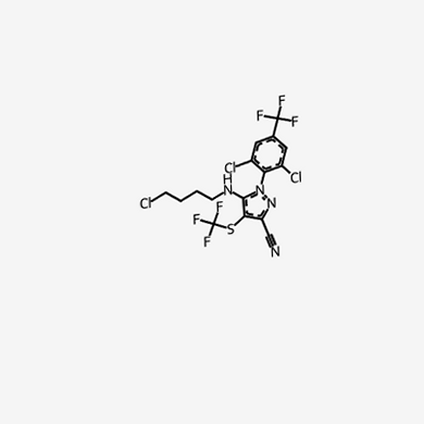 N#Cc1nn(-c2c(Cl)cc(C(F)(F)F)cc2Cl)c(NCCCCCl)c1SC(F)(F)F